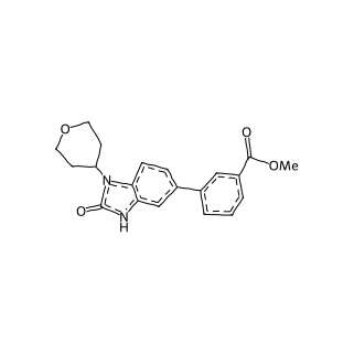 COC(=O)c1cccc(-c2ccc3c(c2)[nH]c(=O)n3C2CCOCC2)c1